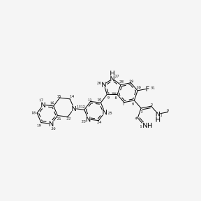 CN/C=C(\C=N)c1cc2c(-c3cc(N4CCc5nccnc5C4)ncn3)n[nH]c2cc1F